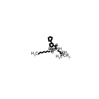 CCCCCCCCS(=O)(=O)Nc1ccc(-c2ccccc2)cc1C(=O)C(=O)NCCC[N+](C)(C)C